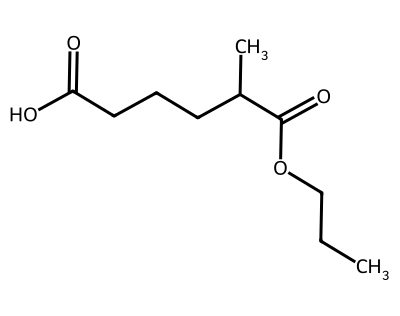 CCCOC(=O)C(C)CCCC(=O)O